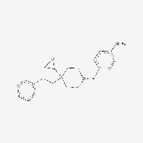 CC(=O)Nc1ccc(CN2CCC(CCc3ccccc3)(C3CO3)CC2)cc1